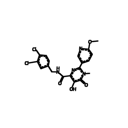 COc1ccc(-c2nc(C(=O)NCc3ccc(Cl)c(Cl)c3)c(O)c(=O)n2C)cn1